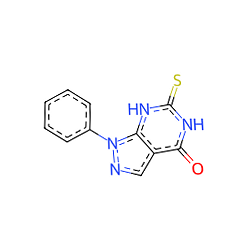 O=c1[nH]c(=S)[nH]c2c1cnn2-c1ccccc1